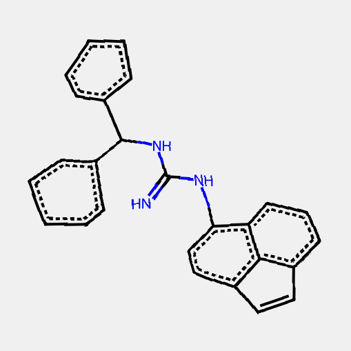 N=C(Nc1ccc2c3c(cccc13)C=C2)NC(c1ccccc1)c1ccccc1